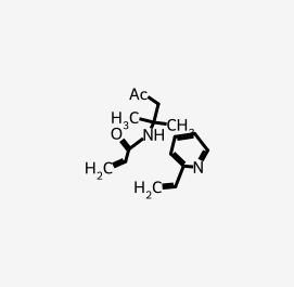 C=CC(=O)NC(C)(C)CC(C)=O.C=Cc1ccccn1